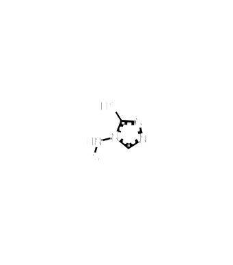 CC(=O)Nn1cnnc1S